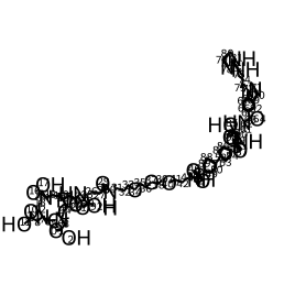 O=C(O)CN1CCN(CC(=O)O)CCN(C(=O)O)CCN(CC(=O)N[C@@H](CCC(=O)NCCCOCCOCCOCCCNS(=O)(=O)c2ccc(-c3ccc(S(=O)(=O)N[C@@H](CNC(=O)c4ccc5c(cnn5CCCNc5ncc[nH]5)c4)C(=O)O)cc3)cc2)C(=O)O)CC1